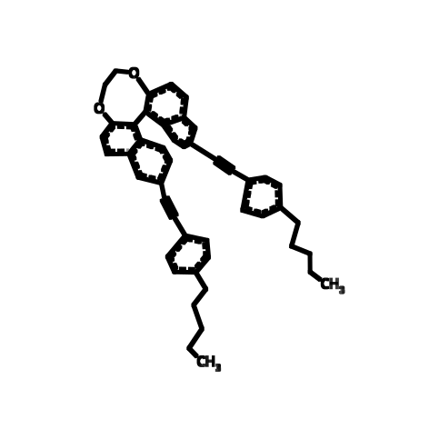 CCCCCc1ccc(C#Cc2ccc3c4c(ccc3c2)OCCOc2ccc3cc(C#Cc5ccc(CCCCC)cc5)ccc3c2-4)cc1